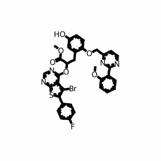 COC(=O)C(Cc1cc(O)ccc1OCc1ccnc(-c2ccccc2OC)n1)Oc1ncnc2sc(-c3ccc(F)cc3)c(Br)c12